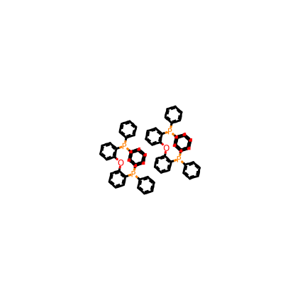 c1ccc(P(c2ccccc2)c2ccccc2Oc2ccccc2P(c2ccccc2)c2ccccc2)cc1.c1ccc(P(c2ccccc2)c2ccccc2Oc2ccccc2P(c2ccccc2)c2ccccc2)cc1